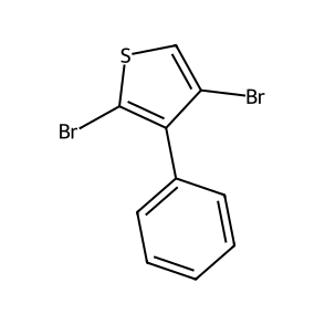 Brc1csc(Br)c1-c1ccccc1